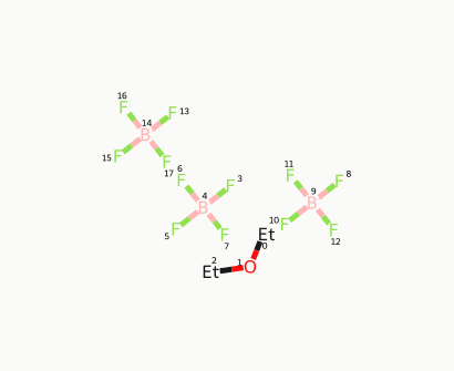 CCOCC.F[B-](F)(F)F.F[B-](F)(F)F.F[B-](F)(F)F